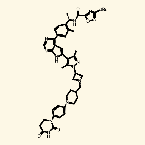 Cc1cc(-c2ncnc3[nH]c(-c4c(C)nn(C5CN(CC6CCN(c7ccc(N8CCC(=O)NC8=O)cc7)CC6)C5)c4C)cc23)ccc1[C@@H](C)NC(=O)c1nc(C(C)(C)C)no1